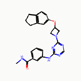 CNC(=O)c1cccc(Nc2ncnc(N3CC(Oc4ccc5c(c4)CCC5)C3)n2)c1